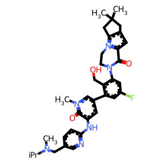 CC(C)N(C)Cc1ccc(Nc2cc(-c3cc(F)cc(N4CCn5c(cc6c5CC(C)(C)C6)C4=O)c3CO)cn(C)c2=O)nc1